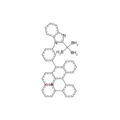 BC(B)(B)c1nc2ccccc2n1-c1cccc(-c2c3ccccc3c(-c3ccccc3-c3ccccn3)c3ccccc23)c1